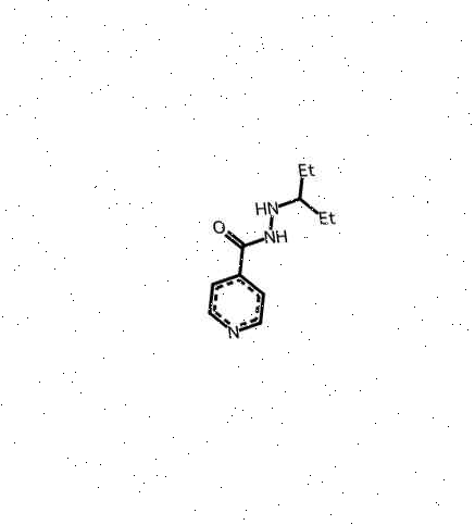 CCC(CC)NNC(=O)c1ccncc1